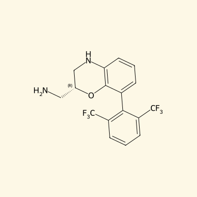 NC[C@@H]1CNc2cccc(-c3c(C(F)(F)F)cccc3C(F)(F)F)c2O1